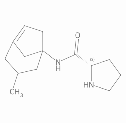 CC1CC2=CCC(NC(=O)[C@@H]3CCCN3)(C2)C1